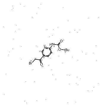 CC(C)(C)OC(=O)Nc1ccc(C(=O)CBr)cn1